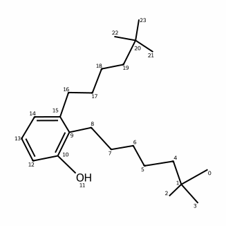 CC(C)(C)CCCCCc1c(O)cccc1CCCCC(C)(C)C